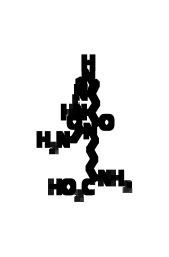 NCC(=O)N(CCCC[C@H](N)C(=O)O)C(=O)C(Cc1c[nH]cn1)NI